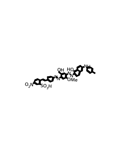 COc1cc(N=Nc2ccc(C=Cc3ccc([N+](=O)[O-])cc3S(=O)(=O)O)cc2)c(CO)cc1N=Nc1ccc2cc(Nc3ccc(C)cc3)ccc2c1O